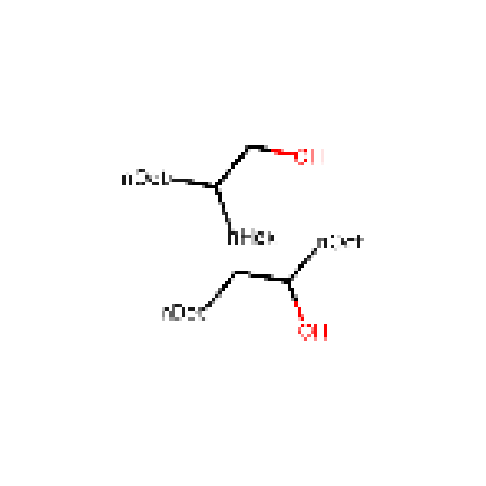 CCCCCCCCC(CO)CCCCCC.CCCCCCCCCCCC(O)CCCCCCCC